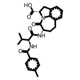 Cc1ccc(C(=O)N[C@H](C(=O)N[C@H]2CCc3cccc4c3N(C2=O)[C@H](C(=O)O)C4)C(C)C)cc1